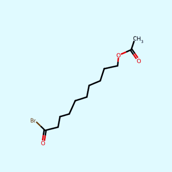 CC(=O)OCCCCCCCCCC(=O)Br